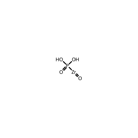 [O]=[Zr][P](=O)(O)O